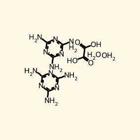 Nc1nc(N)nc(N)n1.Nc1nc(N)nc(N)n1.O.O.O=C(O)C(=O)O